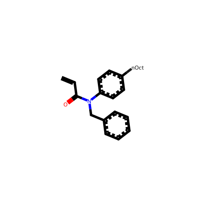 C=CC(=O)N(Cc1ccccc1)c1ccc(CCCCCCCC)cc1